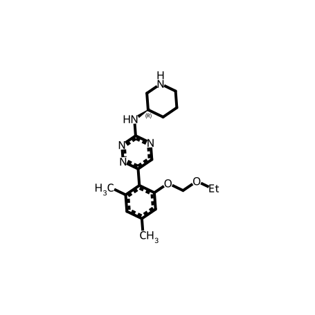 CCOCOc1cc(C)cc(C)c1-c1cnc(N[C@@H]2CCCNC2)nn1